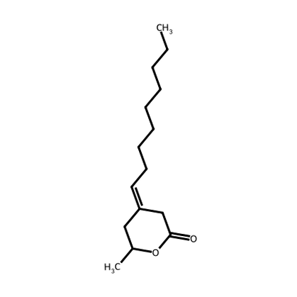 CCCCCCCCC=C1CC(=O)OC(C)C1